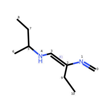 C=N/C(=C/NC(C)CC)CC